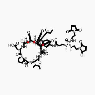 CCC(C)[C@@H]1NC(=O)[C@@H]2CCCN2C(=O)[C@H](CC(=O)O)NC(=O)[C@@H]2CSc3[nH]c4ccc(NC(=O)CCNP(=O)(NCCN5C(=O)C=CC5=O)NCCN5C(=O)C=CC5=O)cc4c3C[C@H](NC1=O)C(=O)NCC(=O)N[C@@H]([C@@H](C)CC)C(=O)NCC(=O)N2